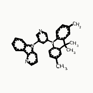 Cc1ccc2c(c1)C(C)(C)c1cc(C)ccc1N2c1cncc(-n2c3ccccc3c3ncccc32)c1